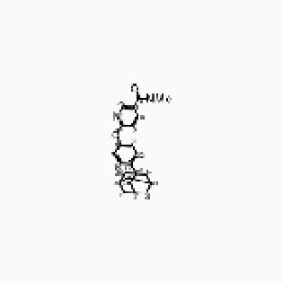 CNC(=O)c1ccc(Oc2ccc(C34CC5CC(CC(C5)C3)C4)cc2)nc1